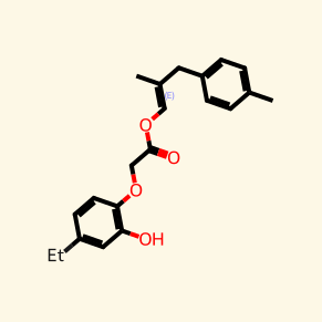 CCc1ccc(OCC(=O)O/C=C(\C)Cc2ccc(C)cc2)c(O)c1